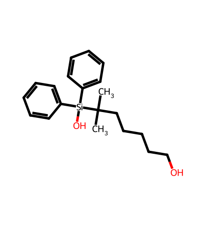 CC(C)(CCCCCO)[Si](O)(c1ccccc1)c1ccccc1